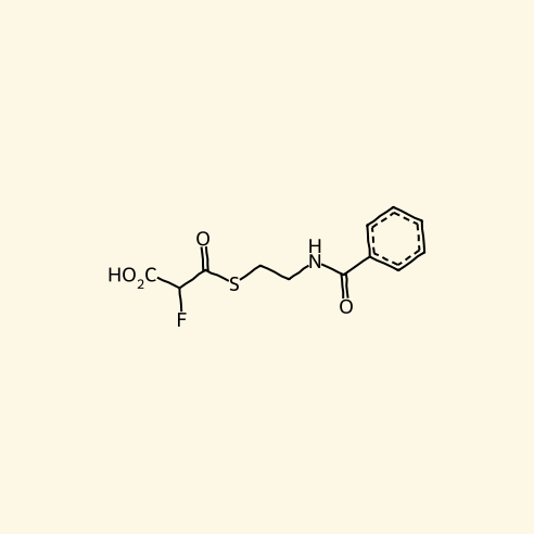 O=C(NCCSC(=O)C(F)C(=O)O)c1ccccc1